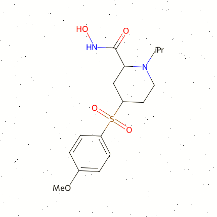 COc1ccc(S(=O)(=O)C2CCN(C(C)C)C(C(=O)NO)C2)cc1